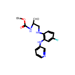 CC(C)(C)OC(=O)NC(C=O)CNc1ccc(F)cc1Nc1cccnc1